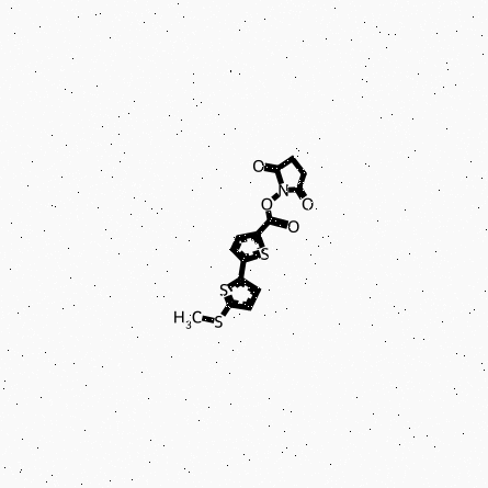 CSc1ccc(-c2ccc(C(=O)ON3C(=O)CCC3=O)s2)s1